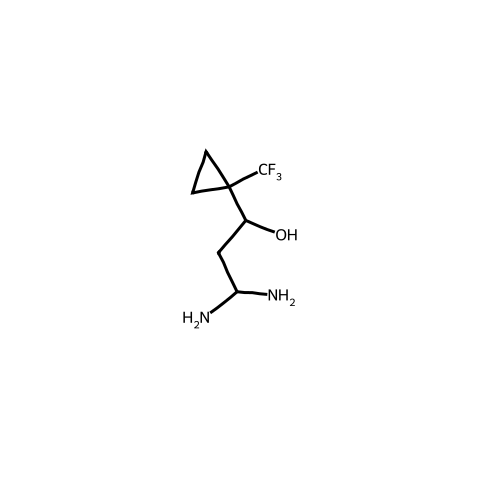 NC(N)CC(O)C1(C(F)(F)F)CC1